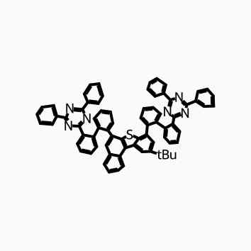 CC(C)(C)c1cc(-c2ccccc2-c2ccccc2-c2nc(-c3ccccc3)nc(-c3ccccc3)n2)c2sc3c(-c4ccccc4-c4ccccc4-c4nc(-c5ccccc5)nc(-c5ccccc5)n4)cc4ccccc4c3c2c1